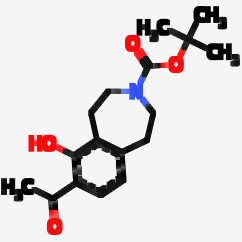 CC(=O)c1ccc2c(c1O)CCN(C(=O)OC(C)(C)C)CC2